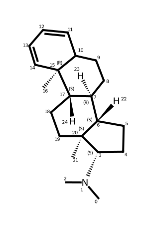 CN(C)[C@H]1CC[C@H]2[C@@H]3CCC4C=CC=C[C@]4(C)[C@H]3CC[C@]12C